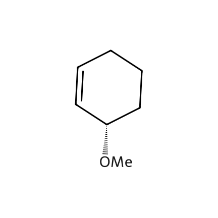 CO[C@@H]1C=CCCC1